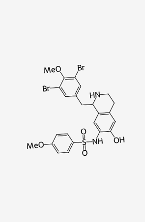 COc1ccc(S(=O)(=O)Nc2cc3c(cc2O)CCNC3Cc2cc(Br)c(OC)c(Br)c2)cc1